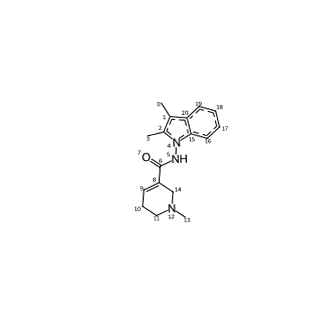 Cc1c(C)n(NC(=O)C2=CCCN(C)C2)c2ccccc12